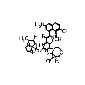 [2H]C([2H])(Oc1nc(N2CCOC[C@@H]3[C@@H](Cl)[C@@H]32)c2cnc(-c3cc(N)cc4ccc(Cl)c(C#C)c34)c(F)c2n1)[C@@]12CCCN1[C@H](C)[C@H](F)C2